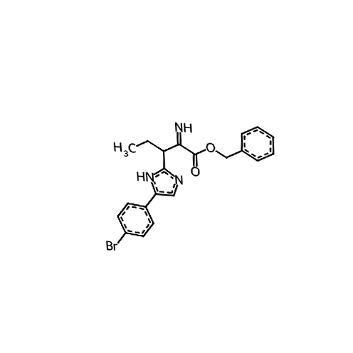 CCC(C(=N)C(=O)OCc1ccccc1)c1ncc(-c2ccc(Br)cc2)[nH]1